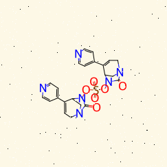 O=C1N2CC=C(c3ccncc3)C(C2)N1OS(=O)(=O)ON1C(=O)N2CC=C(c3ccncc3)C1C2